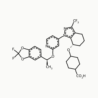 C[C@H](Oc1cc(-n2nc(C(F)(F)F)c3c2[C@@H](OC2CCC(C(=O)O)CC2)CCC3)ccn1)c1ccc2c(c1)OC(F)(F)O2